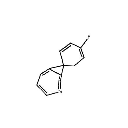 FC1=CCC2(C=C1)c1cccnc12